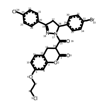 O=C1Oc2cc(OCCCl)ccc2CC1C(=O)N1N=C(c2ccc(Cl)cc2)CC1c1ccc(Br)cc1